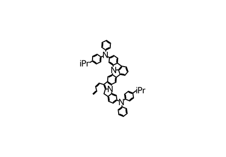 C=C/C=C\c1c2n(c3cc4c5cccc6c7ccc(N(c8ccccc8)c8ccc(C(C)C)cc8)cc7n(c4cc13)c65)-c1cc(N(c3ccccc3)c3ccc(C(C)C)cc3)ccc1C2